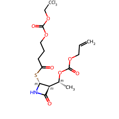 C=CCOC(=O)O[C@H](C)[C@H]1C(=O)N[C@@H]1SC(=O)CCCOC(=O)OCC(Cl)(Cl)Cl